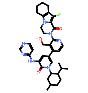 CC1CCC(C(C)C)C(n2cc(-c3ccnc(N4CCn5c6c(c(F)c5C4=O)CCCC6)c3CO)cc(Nc3ccncn3)c2=O)C1